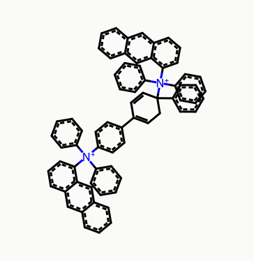 C1=CC(c2ccccc2)([N+](c2ccccc2)(c2ccccc2)c2cccc3cc4ccccc4cc23)CC=C1c1ccc([N+](c2ccccc2)(c2ccccc2)c2cccc3cc4ccccc4cc23)cc1